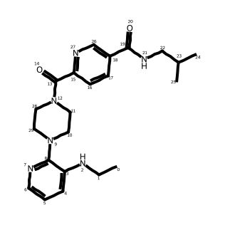 CCNc1cccnc1N1CCN(C(=O)c2ccc(C(=O)NCC(C)C)cn2)CC1